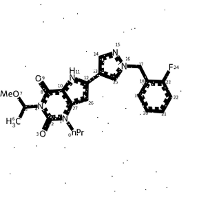 CCCn1c(=O)n(C(C)OC)c(=O)c2[nH]c(-c3cnn(Cc4ccccc4F)c3)cc21